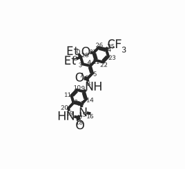 CCC1(CC)C/C(=C\C(=O)Nc2ccc3c(c2)N(C)C(=O)NC3)c2ccc(C(F)(F)F)cc2O1